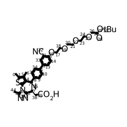 Cc1sc2c(c1C)C(c1ccc(-c3ccc(OCCOCCOCCOCC(=O)OC(C)(C)C)c(C#N)c3)cc1)=N[C@@H](CC(=O)O)c1nnc(C)n1-2